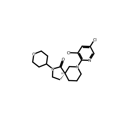 O=C1N(C2CCOCC2)CC[C@]12CCCN(c1ncc(Cl)cc1Cl)C2